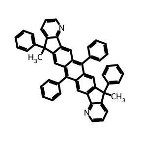 CC1(c2ccccc2)c2cc3c(-c4ccccc4)c4cc5c(cc4c(-c4ccccc4)c3cc2-c2ncccc21)C(C)(c1ccccc1)c1cccnc1-5